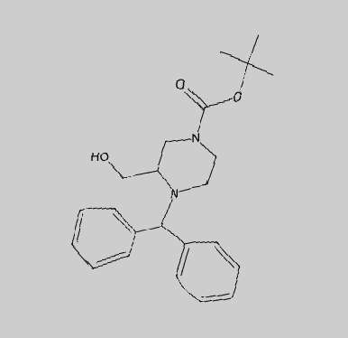 CC(C)(C)OC(=O)N1CCN(C(c2ccccc2)c2ccccc2)C(CO)C1